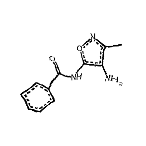 Cc1noc(NC(=O)c2ccccc2)c1N